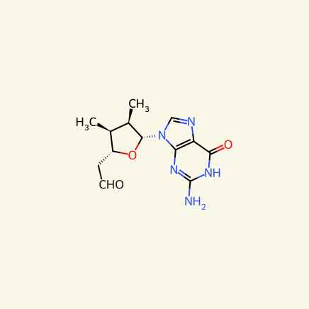 C[C@@H]1[C@H](C)[C@@H](CC=O)O[C@H]1n1cnc2c(=O)[nH]c(N)nc21